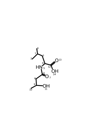 CC(C)CC(NC(=O)CC(C)O)C(=O)O